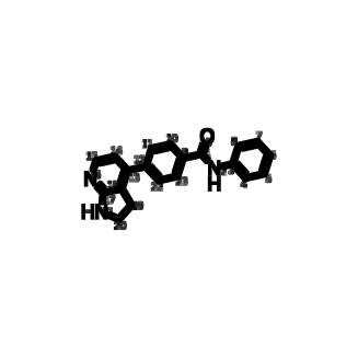 O=C(Nc1ccccc1)c1ccc(-c2ccnc3c2CCN3)cc1